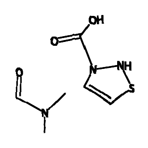 CN(C)C=O.O=C(O)N1C=CSN1